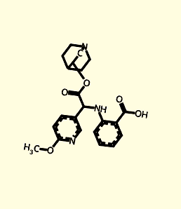 COc1ccc(C(Nc2ccccc2C(=O)O)C(=O)OC2CN3CCC2CC3)cn1